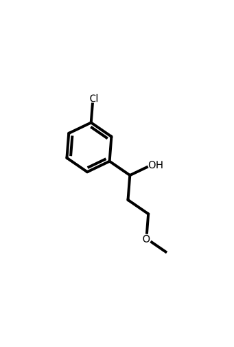 COCCC(O)c1cccc(Cl)c1